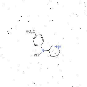 CCCN(c1ccc(C(=O)O)cc1)C1CCCNC1